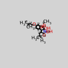 CCOC(=O)C1(O)C(c2ccc(OCC=C(C)C)cc2)=C(CC(C)C)C(=O)N1O